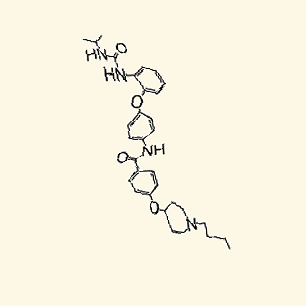 CCCCN1CCC(Oc2ccc(C(=O)Nc3ccc(Oc4ccccc4NC(=O)NC(C)C)cc3)cc2)CC1